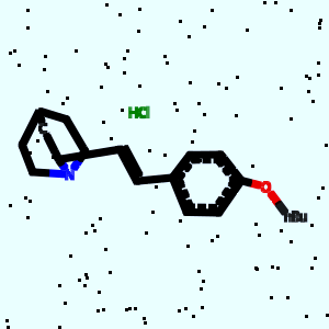 CCCCOc1ccc(C=CC2CC3CCN2CC3)cc1.Cl